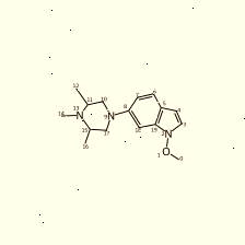 COn1ccc2ccc(N3CC(C)N(C)C(C)C3)cc21